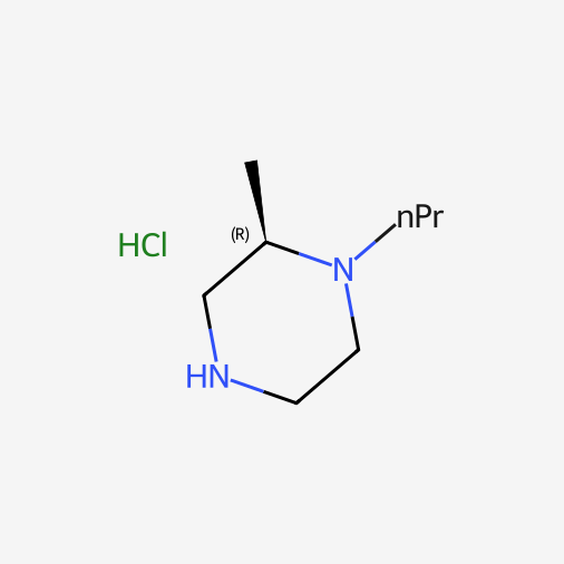 CCCN1CCNC[C@H]1C.Cl